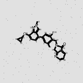 Cc1cc(-c2ccc(OC3CC3)c3nn(C)cc23)cc(F)c1CN1Cc2ncccc2C1=O